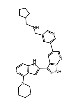 c1cc2[nH]c(-c3n[nH]c4ncc(-c5cncc(CNCC6CCCC6)c5)cc34)cc2c(N2CCCCC2)n1